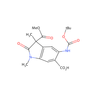 COC(=O)C1(C)C(=O)N(C)c2cc(C(=O)O)c(NC(=O)OC(C)(C)C)cc21